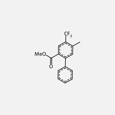 COC(=O)c1cc(C(F)(F)F)c(C)cc1-c1ccccc1